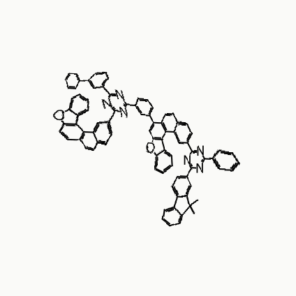 CC1(C)c2ccccc2-c2ccc(-c3nc(-c4ccccc4)nc(-c4ccc5ccc6c(-c7cccc(-c8nc(-c9cccc(-c%10ccccc%10)c9)nc(-c9ccc%10ccc%11ccc%12oc%13ccccc%13c%12c%11c%10c9)n8)c7)cc7oc8ccccc8c7c6c5c4)n3)cc21